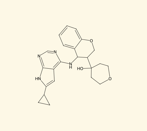 OC1(C2COc3ccccc3C2Nc2ncnc3[nH]c(C4CC4)cc23)CCOCC1